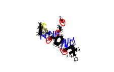 COCCOc1cc(NC(=O)CC(C)(C)C)ccc1C(=O)Nc1nccs1